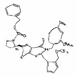 COc1ccc(Cn2c(-c3ccccc3OC(F)(F)F)nc3sc([C@H]4CCCN4C(=O)OCc4ccccc4)nc3c2=O)c(OC)c1